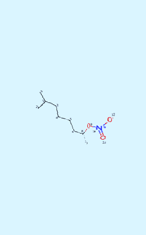 CC(C)CCCC[C@@H](C)O[N+](=O)[O-]